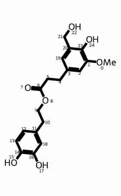 COc1cc(CCC(=O)OCCc2ccc(O)c(O)c2)cc(CO)c1O